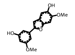 COc1cc(O)cc(-c2cc3cc(O)c(OC)cc3o2)c1